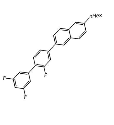 CCCCCCc1ccc2cc(-c3ccc(-c4cc(F)cc(F)c4)c(F)c3)ccc2c1